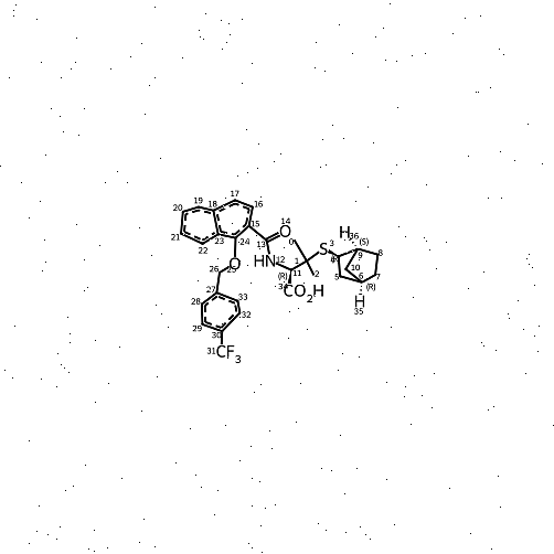 CC(C)(S[C@@H]1C[C@@H]2CC[C@H]1C2)[C@H](NC(=O)c1ccc2ccccc2c1OCc1ccc(C(F)(F)F)cc1)C(=O)O